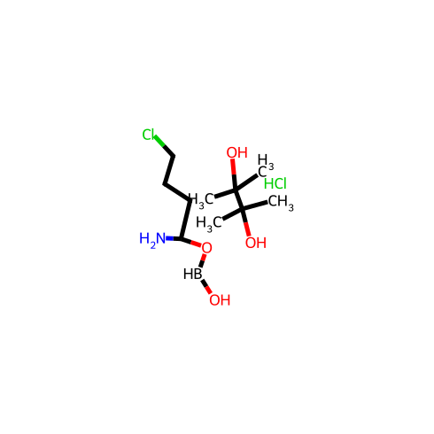 CC(C)(O)C(C)(C)O.Cl.NC(CCCCl)OBO